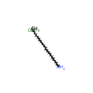 C[Si](Cl)(Cl)CCCCCCCCCCCCCCCCCCCCCCCCCCCCCCCCN